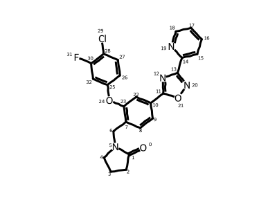 O=C1CCCN1Cc1ccc(-c2nc(-c3ccccn3)no2)cc1Oc1ccc(Cl)c(F)c1